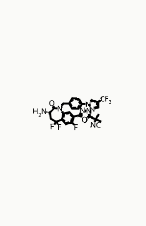 CC(C)(C#N)c1nnc(-c2cc3c(cc2F)C(F)(F)C[C@@H](N)C(=O)N3Cc2ccc(-n3cc(C(F)(F)F)cn3)cc2)o1